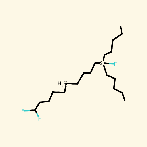 CCCCC[Si](F)(CCCCC)CCCC[SiH2]CCCCC(F)F